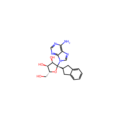 Nc1ncnc2c1ncn2[C@]1(C2Cc3ccccc3C2)O[C@H](CO)[C@@H](O)[C@H]1O